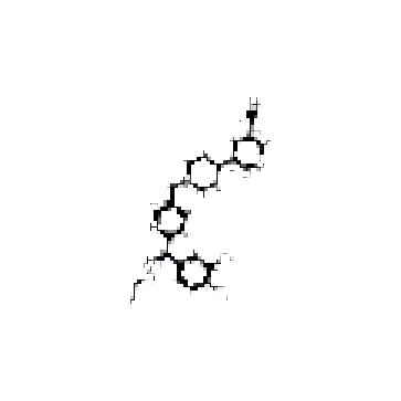 CCO/N=C(\c1ccc(F)c(F)c1)c1ccc(CN2CCC(c3cncc(C#N)c3)CC2)cn1